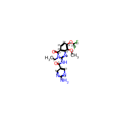 CCn1c(NC(=O)c2cnc(N)nc2)nc2c(OC)c(OC(F)F)ccc2c1=O